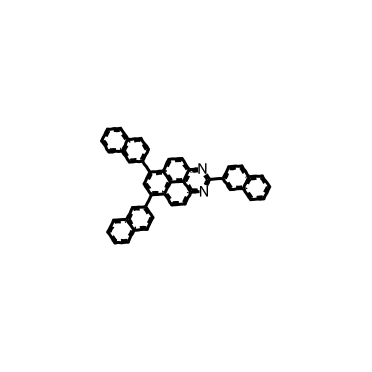 c1ccc2cc(-c3nc4ccc5c(-c6ccc7ccccc7c6)cc(-c6ccc7ccccc7c6)c6ccc(n3)c4c56)ccc2c1